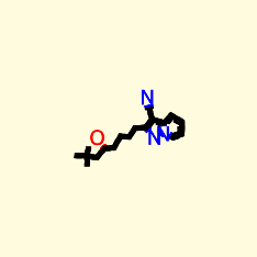 CC(C)(C)CC(=O)CCCCc1nn2ccccc2c1C#N